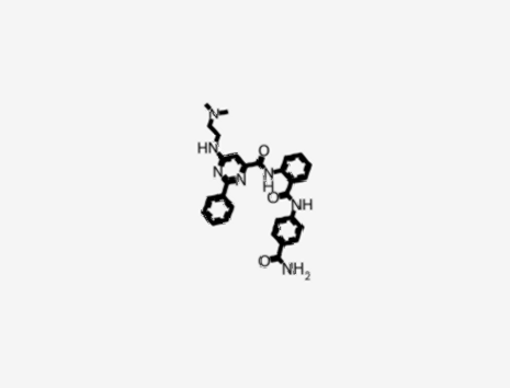 CN(C)CCNc1cc(C(=O)Nc2ccccc2C(=O)Nc2ccc(C(N)=O)cc2)nc(-c2ccccc2)n1